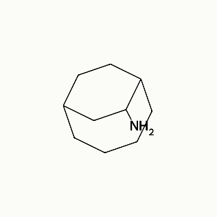 NC1CC2CCCCC1CC2